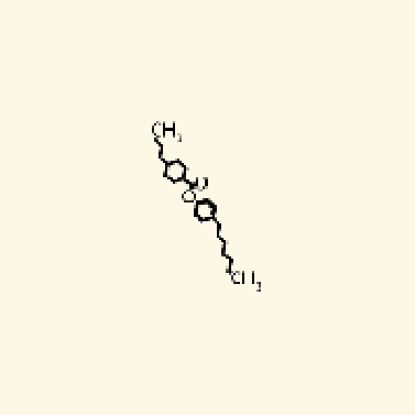 CCCCCCCc1ccc(OC(=O)C2CCC(CCCC)CC2)cc1